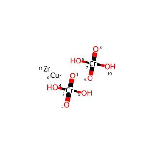 [Cu].[O]=[Cr](=[O])([OH])[OH].[O]=[Cr](=[O])([OH])[OH].[Zr]